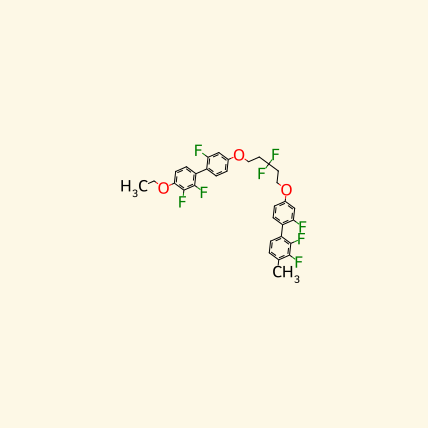 CCOc1ccc(-c2ccc(OCCC(F)(F)CCOc3ccc(-c4ccc(C)c(F)c4F)c(F)c3)cc2F)c(F)c1F